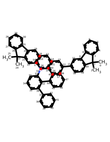 CC1(C)c2ccccc2-c2cc(-c3ccc(N(c4ccc5c(c4)C(C)(C)c4ccccc4-5)c4cccc(-c5ccccc5)c4-c4ccccc4-c4ccccc4)cc3)ccc21